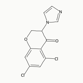 O=C1c2c(Cl)cc(Cl)cc2OCC1n1ccnc1